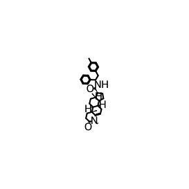 Cc1ccc(CC(NC(=O)[C@H]2CC[C@H]3[C@@H]4CC=C5N(C)C(=O)CC[C@]5(C)[C@H]4CC[C@]23C)c2ccccc2)cc1